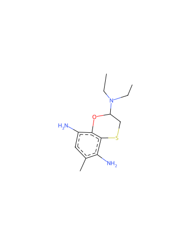 CCN(CC)C1CSc2c(N)c(C)cc(N)c2O1